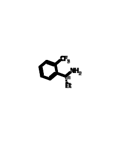 CC[C@@H](N)c1ccccc1C(F)(F)F